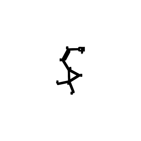 CC1(C)CC1/C=C\C#N